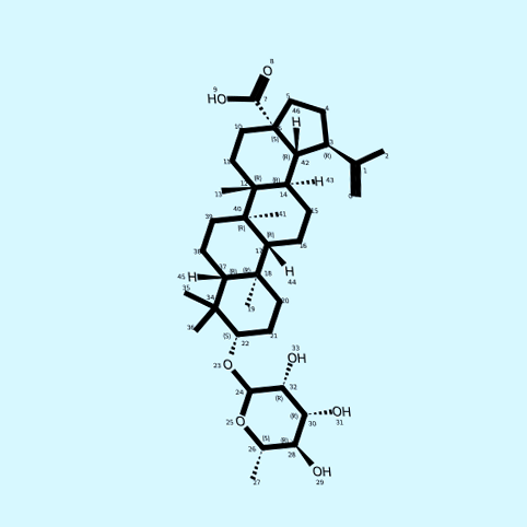 C=C(C)[C@@H]1CC[C@]2(C(=O)O)CC[C@]3(C)[C@H](CC[C@@H]4[C@@]5(C)CC[C@H](OC6O[C@@H](C)[C@H](O)[C@@H](O)[C@H]6O)C(C)(C)[C@@H]5CC[C@]43C)[C@@H]12